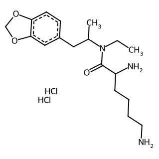 CCN(C(=O)C(N)CCCCN)C(C)Cc1ccc2c(c1)OCO2.Cl.Cl